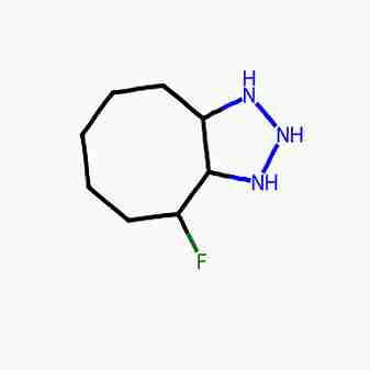 FC1CCCCCC2NNNC12